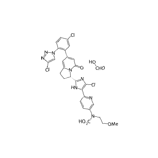 COCCN(C(=O)O)c1ccc(-c2[nH]c([C@@H]3CCc4cc(-c5cc(Cl)ccc5-n5cc(Cl)nn5)cc(=O)n43)nc2Cl)nc1.O=CO